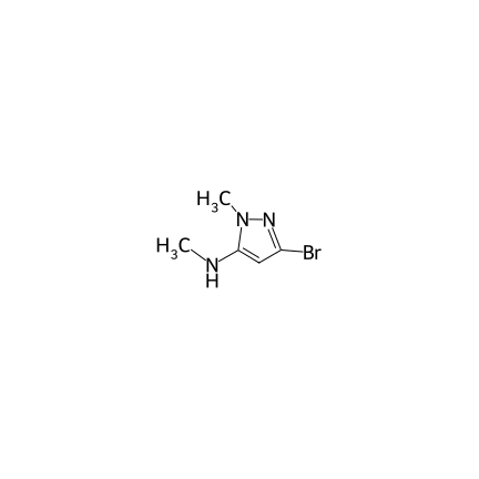 CNc1cc(Br)nn1C